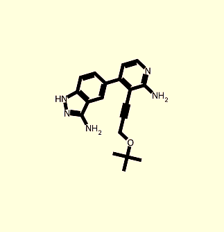 CC(C)(C)OCC#Cc1c(-c2ccc3[nH]nc(N)c3c2)ccnc1N